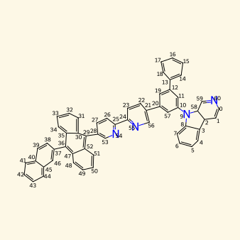 C1=CC2c3ccccc3N(c3cc(-c4ccccc4)cc(-c4ccc(-c5ccc(-c6c7ccccc7c(-c7ccc8ccccc8c7)c7ccccc67)cn5)nc4)c3)C2C=N1